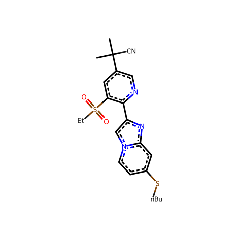 CCCCSc1ccn2cc(-c3ncc(C(C)(C)C#N)cc3S(=O)(=O)CC)nc2c1